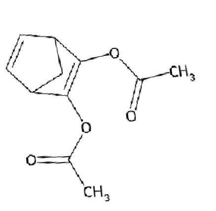 CC(=O)OC1=C(OC(C)=O)C2C=CC1C2